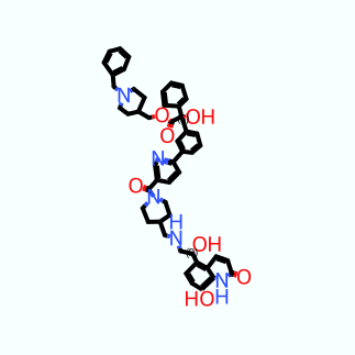 O=C(c1ccc(-c2cccc([C@](O)(C(=O)OCC3CCN(Cc4ccccc4)CC3)c3ccccc3)c2)nc1)N1CCC(CNC[C@H](O)c2ccc(O)c3[nH]c(=O)ccc23)CC1